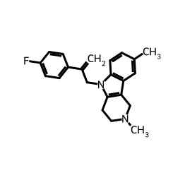 C=C(Cn1c2c(c3cc(C)ccc31)CN(C)CC2)c1ccc(F)cc1